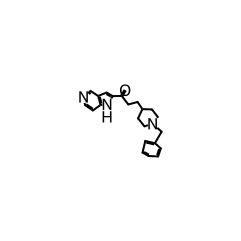 O=C(CCC1CCN(Cc2ccccc2)CC1)c1cc2cnccc2[nH]1